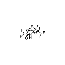 O=S(=O)(NS(=O)(=O)C(F)(F)C(F)(F)C(F)F)C(F)F